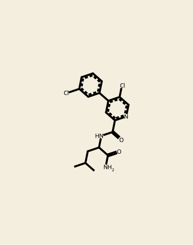 CC(C)CC(NC(=O)c1cc(-c2cccc(Cl)c2)c(Cl)cn1)C(N)=O